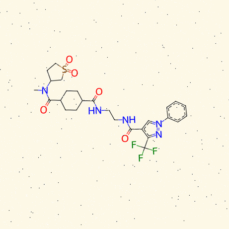 CN(C(=O)C1CCC(C(=O)NCCNC(=O)c2cn(-c3ccccc3)nc2C(F)(F)F)CC1)C1CCS(=O)(=O)C1